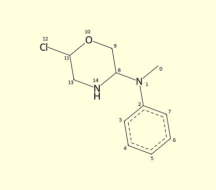 CN(c1ccccc1)C1COC(Cl)CN1